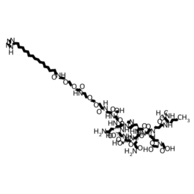 CCCC[C@H](NC(=O)CCNC(=O)[C@H](CCCCN(CC(=O)O)CC(=O)O)NC(=O)[C@H](Cc1c[nH]cn1)NC(=O)[C@H](CCC(N)=O)NC(=O)[C@H](CO)NC(=O)[C@H](CO)NC(=O)[C@H](CCC(N)=O)NC(=O)[C@@H](CO)NC(=O)CNC(=O)COCCOCCNC(=O)COCCOCCNC(=O)CCCCCCCCCCCCCCCc1nnn[nH]1)C(=O)NC